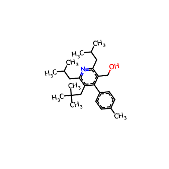 Cc1ccc(-c2c(CO)c(CC(C)C)nc(CC(C)C)c2CC(C)(C)C)cc1